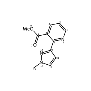 COC(=O)c1cccnc1-c1ccn(C)n1